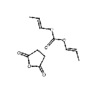 CC=COC(=O)OC=CC.O=C1CCC(=O)O1